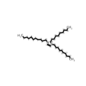 CCCCCCCCCCC[n+]1ccn(CCCCCCCCCC)c1CCCCCCCCC